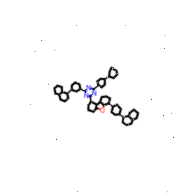 c1ccc(-c2ccc(-c3nc(-c4cccc(-c5cccc6ccccc56)c4)nc(-c4cccc5oc6c(-c7ccc(-c8cccc9ccccc89)cc7)cccc6c45)n3)cc2)cc1